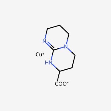 O=C([O-])C1CCN2CCCN=C2N1.[Cu+]